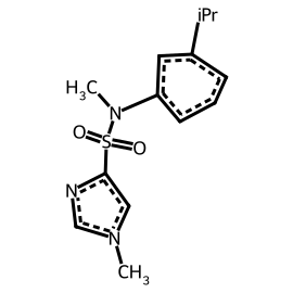 CC(C)c1cccc(N(C)S(=O)(=O)c2cn(C)cn2)c1